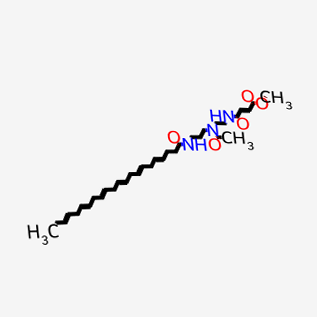 CCC=CCC=CCC=CCC=CCC=CCC=CCCC(=O)NCCCN(CCNC(=O)C=CC(=O)OC)C(C)=O